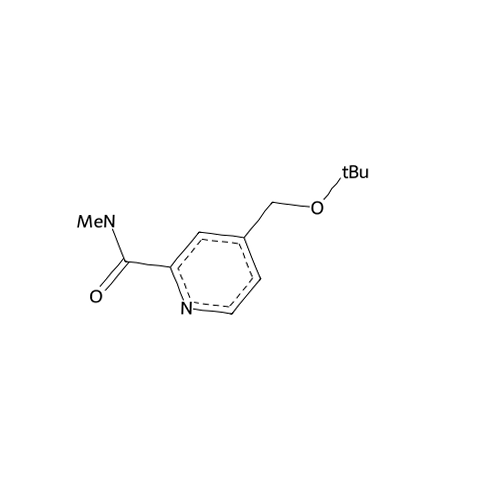 CNC(=O)c1cc(COC(C)(C)C)ccn1